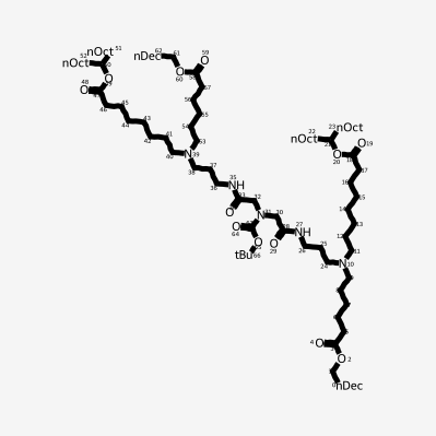 CCCCCCCCCCCOC(=O)CCCCCN(CCCCCCCC(=O)OC(CCCCCCCC)CCCCCCCC)CCCNC(=O)CN(CC(=O)NCCCN(CCCCCCCC(=O)OC(CCCCCCCC)CCCCCCCC)CCCCCC(=O)OCCCCCCCCCCC)C(=O)OC(C)(C)C